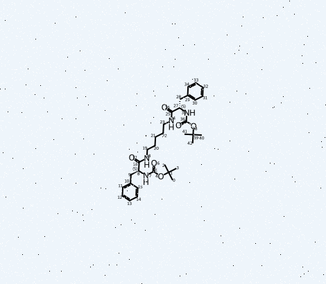 CC(C)(C)OC(=O)N[C@@H](Cc1ccccc1)C(=O)NCCCCCNC(=O)[C@H](Cc1ccccc1)NC(=O)OC(C)(C)C